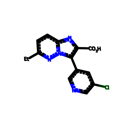 CCc1ccc2nc(C(=O)O)c(-c3cncc(Cl)c3)n2n1